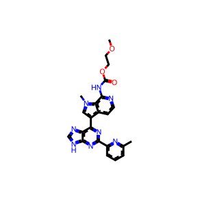 COCCOC(=O)Nc1nccc2c(-c3nc(-c4cccc(C)n4)nc4[nH]cnc34)cn(C)c12